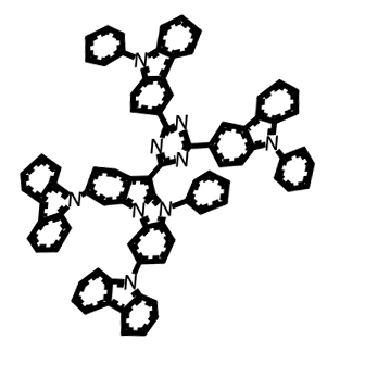 c1ccc(-n2c3ccccc3c3cc(-c4nc(-c5ccc6c(c5)c5ccccc5n6-c5ccccc5)nc(-c5c6ccc(-n7c8ccccc8c8ccccc87)cc6n6c7cc(-n8c9ccccc9c9ccccc98)ccc7n(-c7ccccc7)c56)n4)ccc32)cc1